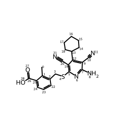 Cc1c(CSc2nc(N)c(C#N)c(C3CCCCC3)c2C#N)cccc1C(=O)O